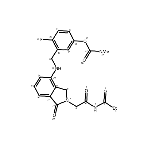 CCC(=O)NC(=O)CN1Cc2c(NCc3cc(OC(=O)NC)ccc3F)cccc2C1=O